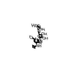 O=P(O)(O)COCC1O[C@@H](n2nnc3c(NC4CCC4)cc(Cl)nc32)[C@H](O)[C@@H]1O